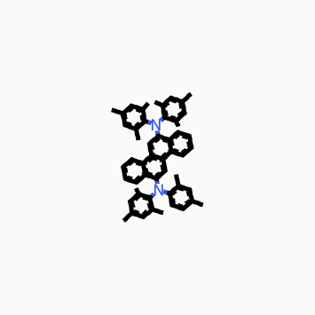 Cc1ccc(N(c2c(C)cc(C)cc2C)c2cc3c4ccccc4c(N(c4c(C)cc(C)cc4C)c4c(C)cc(C)cc4C)cc3c3ccccc23)c(C)c1